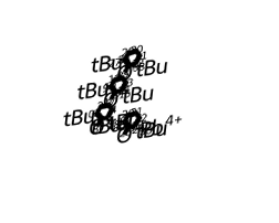 CC(C)(C)c1cccc(C(C)(C)C)c1[O-].CC(C)(C)c1cccc(C(C)(C)C)c1[O-].CC(C)(C)c1cccc(C(C)(C)C)c1[O-].CC(C)(C)c1cccc(C(C)(C)C)c1[O-].[Pb+4]